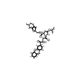 CN1CCc2cc(CNC(=O)[C@@H]3C[C@@H](OC(F)F)CN3C(=O)CNC(=O)c3ccc4c(c3)Oc3ccccc3S4)sc2C1